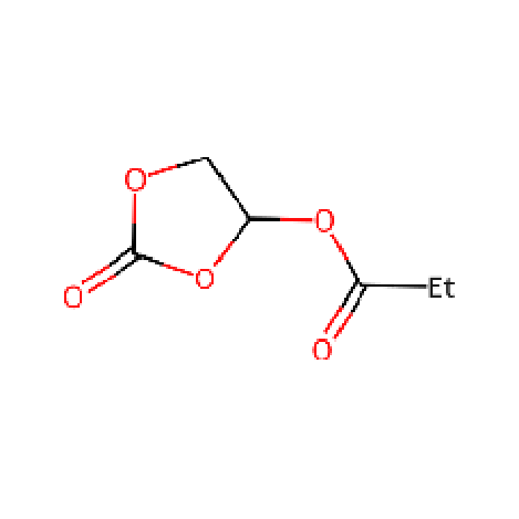 CCC(=O)OC1COC(=O)O1